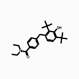 CCN(CC)C(=O)c1ccc(Cc2ccc(C(C)(C)C)c(S)c2C(C)(C)C)cc1